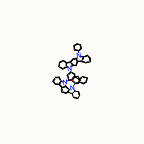 C1=CC2c3ccc4c5ccccc5n(-c5cc(-c6ccccc6)cc(-n6c7ccccc7c7cc8c(cc76)c6ccccc6n8-c6ccccc6)c5)c4c3N(c3ccccc3)C2C=C1